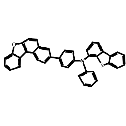 c1ccc(N(c2ccc(-c3ccc4c(ccc5oc6ccccc6c54)c3)cc2)c2cccc3c2sc2ccccc23)cc1